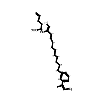 C=CCCC(C=O)N/C(=C\CC)CCCCCCCCCCc1cccc(/C(C)=C\CC)c1